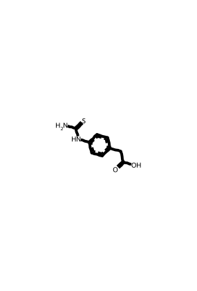 NC(=S)Nc1ccc(CC(=O)O)cc1